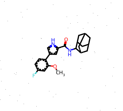 COc1cc(F)ccc1-c1c[nH]c(C(=O)NC2C3CC4CC(C3)CC2C4)c1